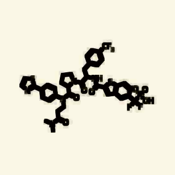 CN(C)C(=O)CCN(C(=O)C1CCCN1C(=O)C(Cc1ccc(C(F)(F)F)cc1)NC(=O)c1cc2cc(C(F)(F)P(=O)(O)O)ccc2s1)c1ccc(-c2nccs2)cc1